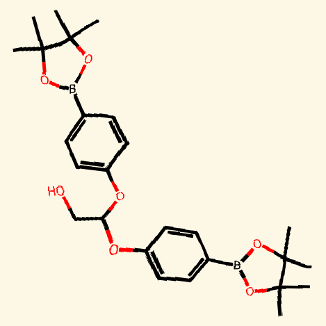 CC1(C)OB(c2ccc(OC(CO)Oc3ccc(B4OC(C)(C)C(C)(C)O4)cc3)cc2)OC1(C)C